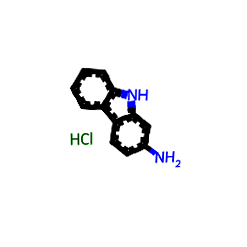 Cl.Nc1ccc2c(c1)[nH]c1ccccc12